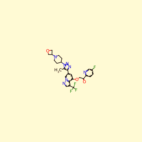 Cc1c(-c2cc(OCC(=O)c3ccc(F)cn3)c3c(C(F)(F)F)cnn3c2)nnn1C1CCN(C2COC2)CC1